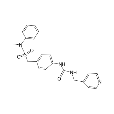 CN(c1ccccc1)S(=O)(=O)Cc1ccc(NC(=O)NCc2ccncc2)cc1